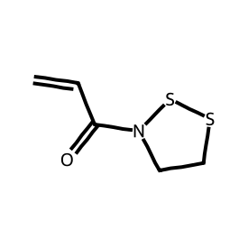 C=CC(=O)N1CCSS1